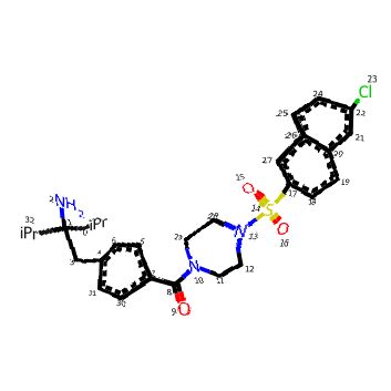 CC(C)C(N)(Cc1ccc(C(=O)N2CCN(S(=O)(=O)c3ccc4cc(Cl)ccc4c3)CC2)cc1)C(C)C